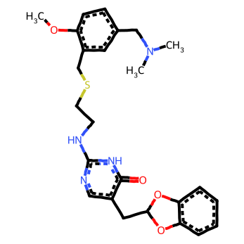 COc1ccc(CN(C)C)cc1CSCCNc1ncc(CC2Oc3ccccc3O2)c(=O)[nH]1